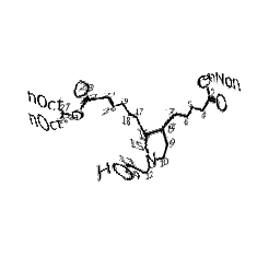 CCCCCCCCCOC(=O)CCCCC1CCN(CCO)CC1CCCCCC(=O)OC(CCCCCCCC)CCCCCCCC